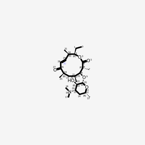 CC[C@H]1OC(=O)[C@H](C)[C@@H](O[C@@H]2O[C@H](C)C[C@H](N(C)C)[C@H]2O)[C@@H](C)C[C@@H](C)C(=O)/C=C/[C@H]1C